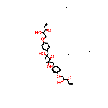 C=CC(=O)C(O)COc1ccc(CC(C)(O)C(=O)C(C)(O)Cc2ccc(OCC(O)C(=O)C=C)cc2)cc1